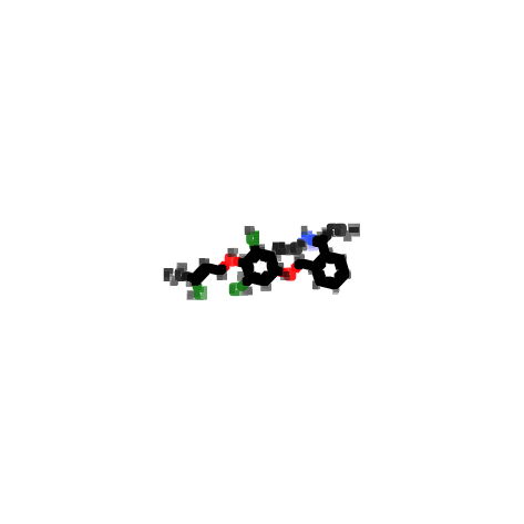 CO/N=C(/C(=O)O)c1ccccc1COc1cc(Cl)c(OCC=C(Cl)C(F)(F)F)c(Cl)c1